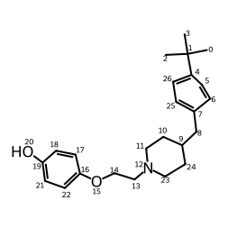 CC(C)(C)c1ccc(CC2CCN(CCOc3ccc(O)cc3)CC2)cc1